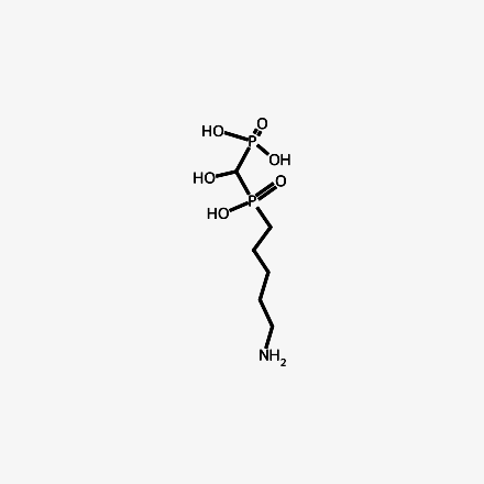 NCCCCCP(=O)(O)C(O)P(=O)(O)O